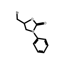 O=C1OC(CBr)CN1c1ccccc1